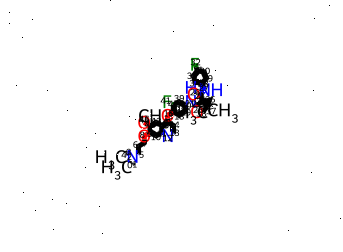 CCN(CC)CCCOc1cc2nccc(Oc3ccc(NC(=O)C4(C(=O)Nc5ccc(F)cc5)CC4(C)C)cc3F)c2cc1OC